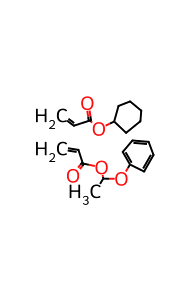 C=CC(=O)OC(C)Oc1ccccc1.C=CC(=O)OC1CCCCC1